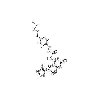 CCCCCc1ccc(C=CC(=O)Nc2cc(Cl)cc3c2OC(c2nnn[nH]2)CO3)cc1